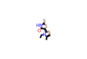 CCN1C(C)=CS/C1=C1\SC(=S)NC1=O